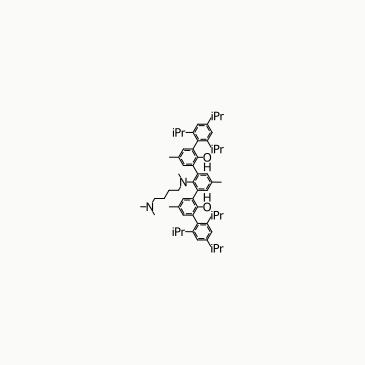 Cc1cc(-c2cc(C)cc(-c3cc(C)cc(-c4c(C(C)C)cc(C(C)C)cc4C(C)C)c3O)c2N(C)CCCCN(C)C)c(O)c(-c2c(C(C)C)cc(C(C)C)cc2C(C)C)c1